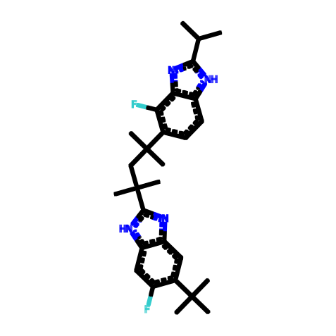 CC(C)c1nc2c(F)c(C(C)(C)CC(C)(C)c3nc4cc(C(C)(C)C)c(F)cc4[nH]3)ccc2[nH]1